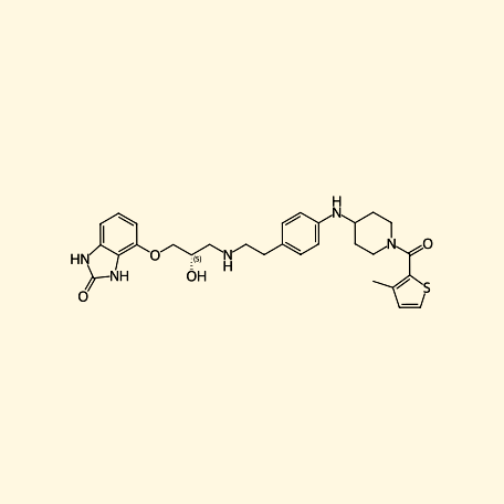 Cc1ccsc1C(=O)N1CCC(Nc2ccc(CCNC[C@H](O)COc3cccc4[nH]c(=O)[nH]c34)cc2)CC1